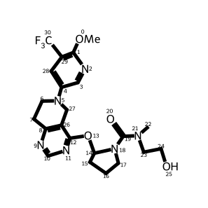 COc1ncc(N2CCc3ncnc(OC4CCCN4C(=O)N(C)CCO)c3C2)cc1C(F)(F)F